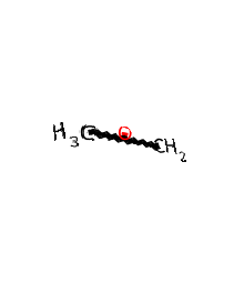 C=CCCCCCCC(=O)CCCCCCC